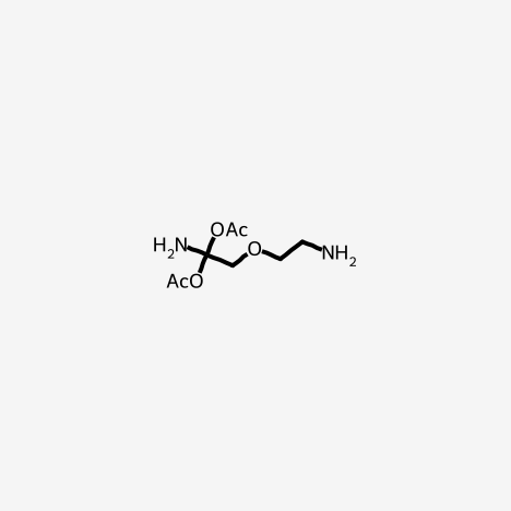 CC(=O)OC(N)(COCCN)OC(C)=O